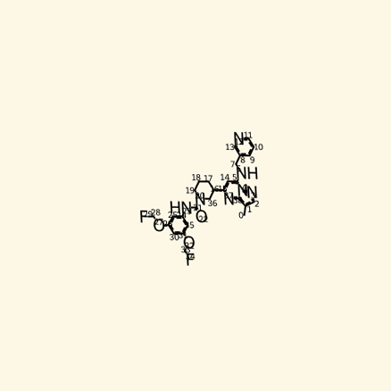 Cc1cnn2c(NCc3cccnc3)cc(C3CCCN(C(=O)Nc4cc(OCF)cc(OCF)c4)C3)nc12